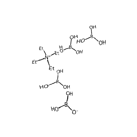 CC[N+](CC)(CC)CC.OB(O)O.OB(O)O.OB(O)O.[O-]B(O)O